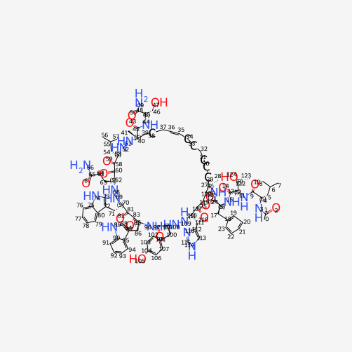 CC(=O)N[C@@H](CC(C)C)C(=O)N[C@H](C(=O)N[C@@H](Cc1ccccc1)C(=O)N[C@]1(C)CCCCCCC=CCCC[C@@](C)(C(=O)N[C@@H](CO)C(N)=O)NN[C@@H](CC(C)C)C(=O)C(=O)[C@H](CCC(N)=O)NN[C@@H](Cc2c[nH]c3ccccc23)C(=O)C(=O)[C@H](Cc2c[nH]c3ccccc23)NC(=O)[C@H](Cc2ccc(O)cc2)NN[C@@H](Cc2c[nH]cn2)C(=O)CC1=O)[C@@H](C)O